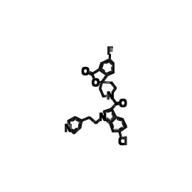 O=C1OC2(CCN(C(=O)c3cn(CCc4ccncc4)c4cc(Cl)ccc34)CC2)c2ccc(F)cc21